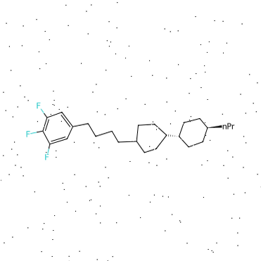 CCC[C@H]1CC[C@H](C2CCC(CCCCc3cc(F)c(F)c(F)c3)CC2)CC1